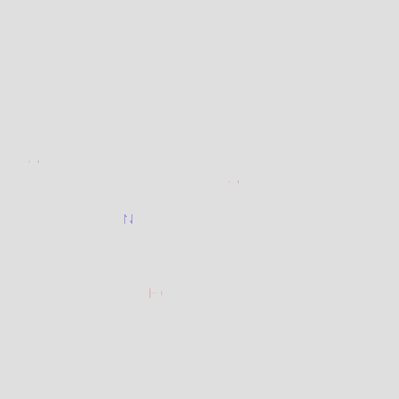 OCc1nc(C2CO2)ccc1OCc1ccccc1